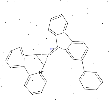 c1ccc(-c2ccc3[n+](c2)/C(=C2/C4c5ccccc5-c5cccc[n+]5C24)c2ccccc2-3)cc1